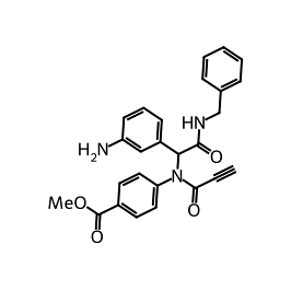 C#CC(=O)N(c1ccc(C(=O)OC)cc1)C(C(=O)NCc1ccccc1)c1cccc(N)c1